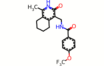 Cc1[nH]c(=O)c(CNC(=O)c2ccc(OC(F)(F)F)cc2)c2c1CCCC2